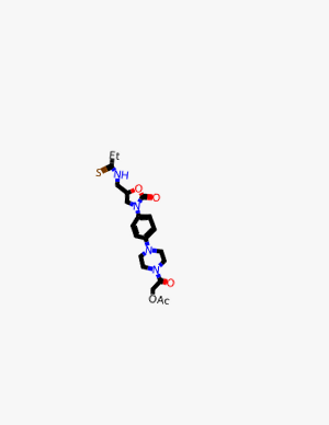 CCC(=S)NCC1CN(c2ccc(N3CCN(C(=O)COC(C)=O)CC3)cc2)C(=O)O1